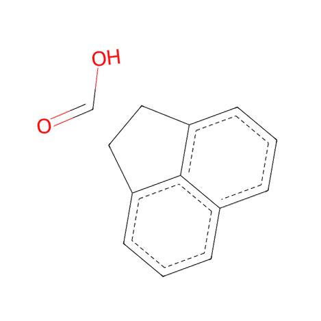 O=CO.c1cc2c3c(cccc3c1)CC2